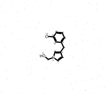 OCn1ccc(Cc2cccc(Cl)c2)c1